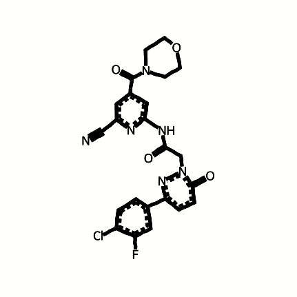 N#Cc1cc(C(=O)N2CCOCC2)cc(NC(=O)Cn2nc(-c3ccc(Cl)c(F)c3)ccc2=O)n1